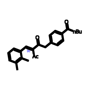 CCCCC(=O)c1ccc(CC(=O)/C(=C/c2cccc(C)c2C)C(C)=O)cc1